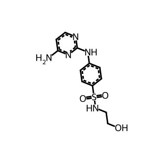 Nc1ccnc(Nc2ccc(S(=O)(=O)NCCO)cc2)n1